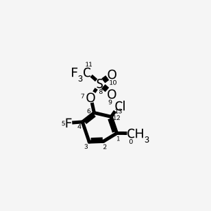 Cc1ccc(F)c(OS(=O)(=O)C(F)(F)F)c1Cl